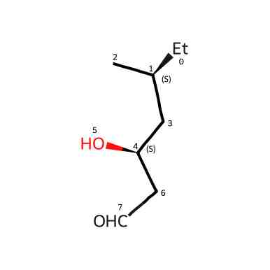 CC[C@H](C)C[C@H](O)CC=O